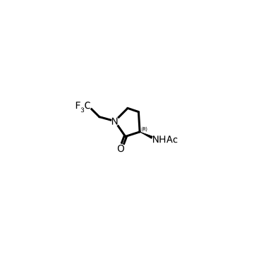 CC(=O)N[C@@H]1CCN(CC(F)(F)F)C1=O